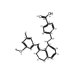 COc1cc(C)cc(/C=C2\CCCc3cccc(CCc4ccc(C(=O)O)cc4)c32)c1